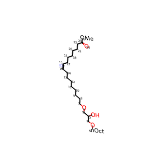 CCCCCCCCOCC(O)COCCCCCCCC/C=C\CCCCCCC(=O)OC